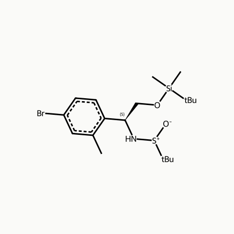 Cc1cc(Br)ccc1[C@@H](CO[Si](C)(C)C(C)(C)C)N[S+]([O-])C(C)(C)C